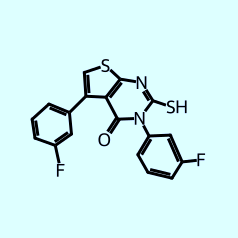 O=c1c2c(-c3cccc(F)c3)csc2nc(S)n1-c1cccc(F)c1